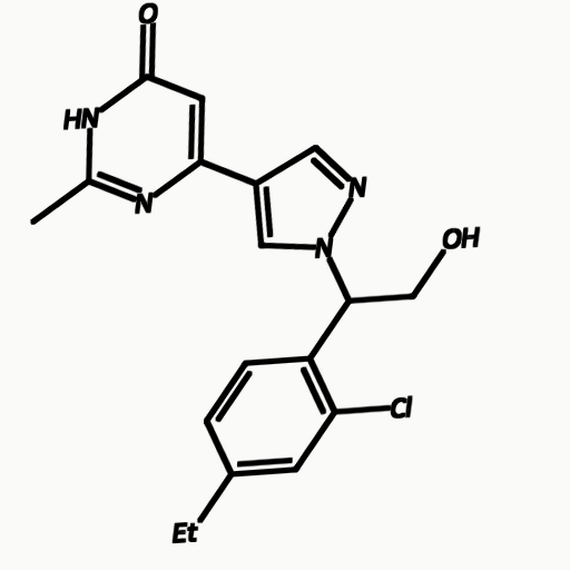 CCc1ccc(C(CO)n2cc(-c3cc(=O)[nH]c(C)n3)cn2)c(Cl)c1